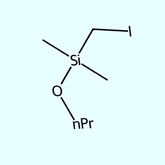 CCCO[Si](C)(C)CI